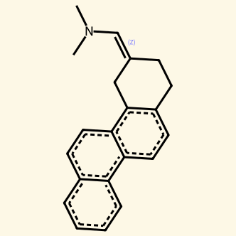 CN(C)/C=C1/CCc2ccc3c(ccc4ccccc43)c2C1